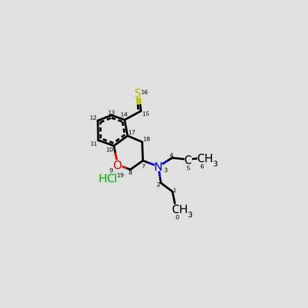 CCCN(CCC)C1COc2cccc(C=S)c2C1.Cl